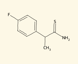 CC(C(N)=S)c1ccc(F)cc1